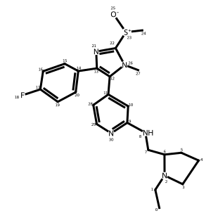 CCN1CCCC1CNc1cc(-c2c(-c3ccc(F)cc3)nc([S+](C)[O-])n2C)ccn1